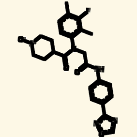 Cc1ccc(N(CC(=O)Nc2ccc(-c3ncon3)cc2)C(=O)C2CC[S+]([O-])CC2)c(C)c1F